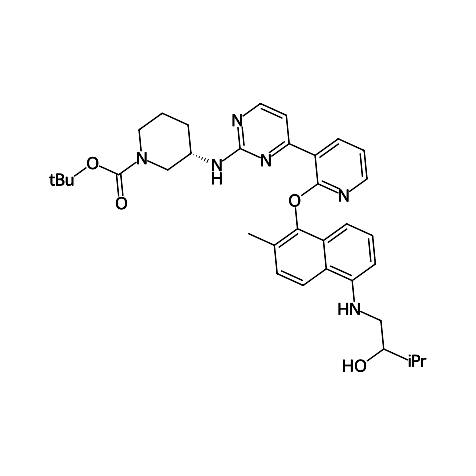 Cc1ccc2c(NCC(O)C(C)C)cccc2c1Oc1ncccc1-c1ccnc(N[C@H]2CCCN(C(=O)OC(C)(C)C)C2)n1